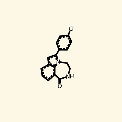 O=C1NCCn2c(-c3ccc(Cl)cc3)cc3cccc1c32